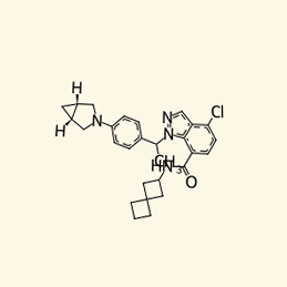 CC(c1ccc(N2C[C@H]3C[C@H]3C2)cc1)n1ncc2c(Cl)ccc(C(=O)NC3CC4(CCC4)C3)c21